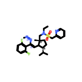 CCN(C[C@]1(C)CC[C@H](C(C)C)C1/C=C(\N=N/C)c1c(F)cccc1F)S(=O)(=O)Cc1ccccn1